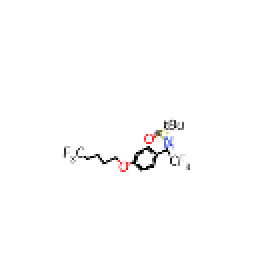 CC(C)(C)[S@+]([O-])/N=C(\c1ccc(OCCCCC(F)(F)F)cc1)C(F)(F)F